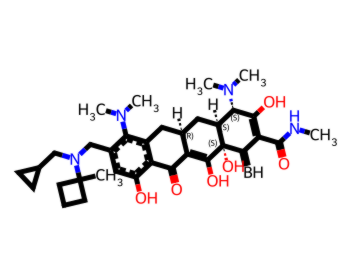 B=C1C(C(=O)NC)=C(O)[C@@H](N(C)C)[C@@H]2C[C@@H]3Cc4c(c(O)cc(CN(CC5CC5)C5(C)CCC5)c4N(C)C)C(=O)C3=C(O)[C@]12O